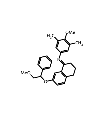 COCC(Oc1ccc2c(c1)C(=Nc1cc(C)c(OC)c(C)c1)CCC2)c1ccccc1